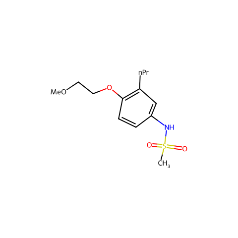 CCCc1cc(NS(C)(=O)=O)ccc1OCCOC